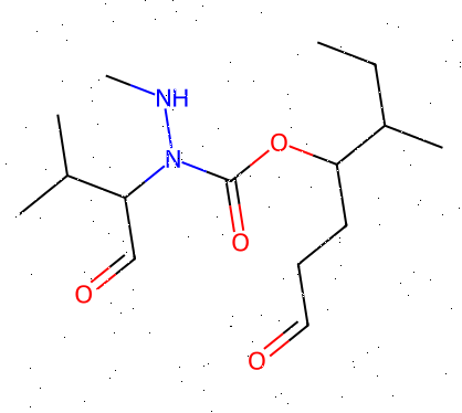 CCC(C)C(CCC=O)OC(=O)N(NC)C(C=O)C(C)C